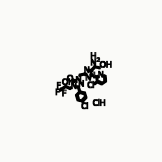 Cl.N[C@H](CO)c1nc(Cn2nc(-c3ccc(Cl)cc3)n(C[C@H](O)C(F)(F)F)c2=O)nn1-c1ncccc1Cl